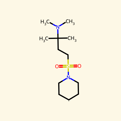 CN(C)C(C)(C)CCS(=O)(=O)N1CC[CH]CC1